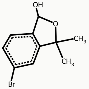 CC1(C)OC(O)c2ccc(Br)cc21